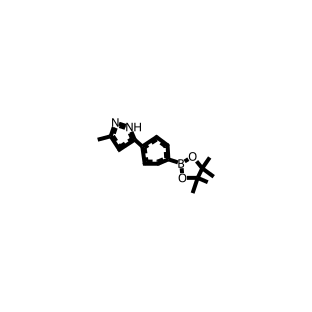 Cc1cc(-c2ccc(B3OC(C)(C)C(C)(C)O3)cc2)[nH]n1